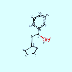 O[C@@H](CC1CCCC1)c1ccccc1